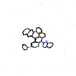 c1ccc(-c2ccc3c(-c4ccc5ccccc5n4)c4ccccc4c(-c4cc5ccccc5cc4-c4ccccc4)c3c2)cc1